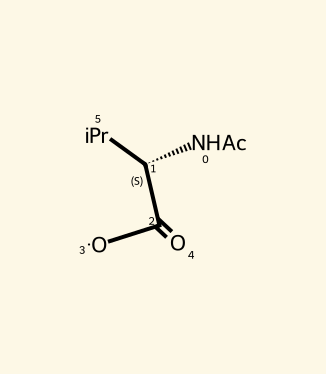 CC(=O)N[C@H](C([O])=O)C(C)C